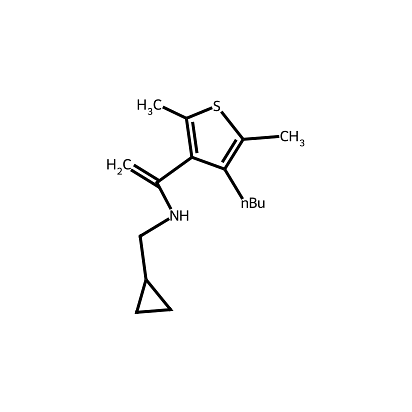 C=C(NCC1CC1)c1c(C)sc(C)c1CCCC